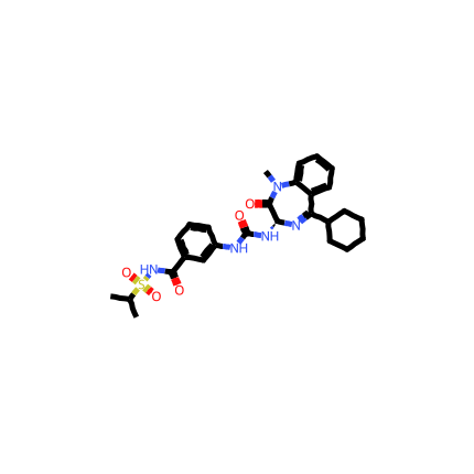 CC(C)S(=O)(=O)NC(=O)c1cccc(NC(=O)N[C@H]2N=C(C3CCCCC3)c3ccccc3N(C)C2=O)c1